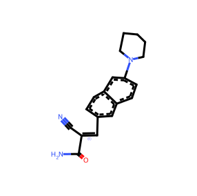 N#C/C(=C\c1ccc2cc(N3CCCCC3)ccc2c1)C(N)=O